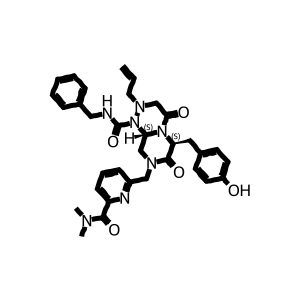 C=CCN1CC(=O)N2[C@@H](Cc3ccc(O)cc3)C(=O)N(Cc3cccc(C(=O)N(C)C)n3)C[C@@H]2N1C(=O)NCc1ccccc1